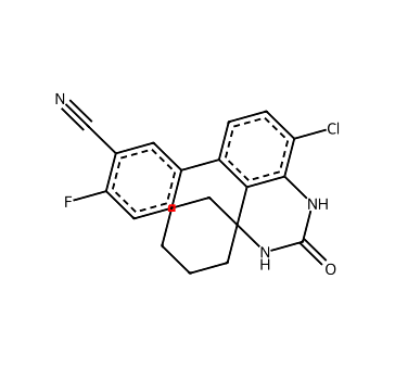 N#Cc1cc(-c2ccc(Cl)c3c2C2(CCCCC2)NC(=O)N3)ccc1F